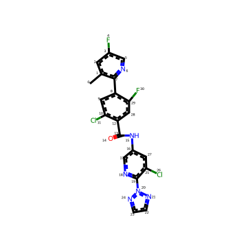 Cc1cc(F)cnc1-c1cc(Cl)c(C(=O)Nc2cnc(-n3nccn3)c(Cl)c2)cc1F